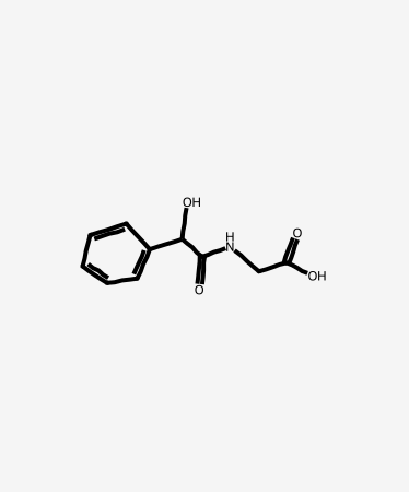 O=C(O)CNC(=O)C(O)c1ccccc1